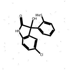 CSc1ccccc1C1(O)C(=O)Nc2ccc(Cl)cc21